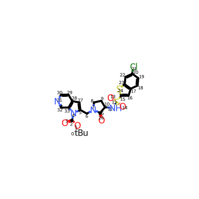 CC(C)(C)OC(=O)n1c(CN2CCC(NS(=O)(=O)c3cc4ccc(Cl)cc4s3)C2=O)cc2ccncc21